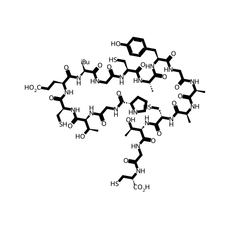 CC[C@H](C)[C@H](NC(=O)[C@H](CCC(=O)O)NC(=O)[C@H](CS)NC(=O)[C@@H](NC(=O)CNC(=O)[C@@H]1CCCN1)[C@@H](C)O)C(=O)NCC(=O)N[C@@H](CS)C(=O)N[C@@H](C)C(=O)N[C@@H](Cc1ccc(O)cc1)C(=O)NCC(=O)N[C@@H](C)C(=O)N[C@@H](C)C(=O)N[C@@H](CS)C(=O)N[C@H](C(=O)NCC(=O)N[C@@H](CS)C(=O)O)[C@@H](C)O